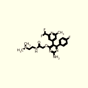 Cc1cc(-c2c(OCC(=O)NCCN(C)C)nc(N)nc2-c2ccc(F)cc2)cc(C(F)F)n1